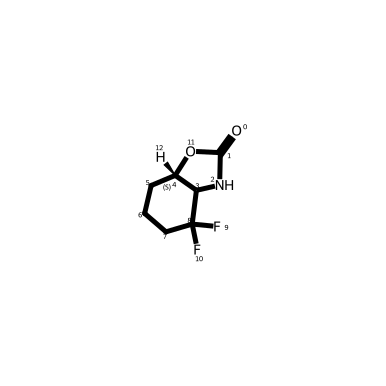 O=C1NC2[C@H](CCCC2(F)F)O1